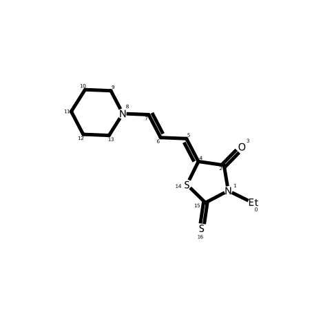 CCN1C(=O)/C(=C/C=C/N2CCCCC2)SC1=S